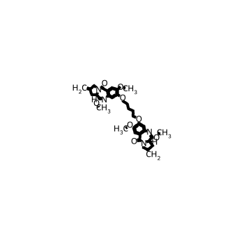 C=C1C[C@H]2C(OC)=Nc3cc(OCCCCCOc4cc5c(cc4OC)C(=O)N4CC(=C)C[C@H]4C(OC)=N5)c(OC)cc3C(=O)N2C1